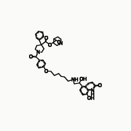 O=C(c1ccc(OCCCCCCNCC(O)c2ccc(O)c3[nH]c(=O)ccc23)cc1)N1CCC(C(=O)OC2CN3CCC2CC3)(c2ccccc2)CC1